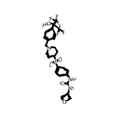 O=C(Nc1ccc(S(=O)(=O)C2CCN(Cc3ccc(C(O)(C(F)(F)F)C(F)(F)F)cc3)CC2)cc1)NC1COC1